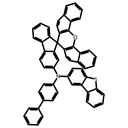 c1ccc(-c2ccc(N(c3ccc4c(c3)C3(c5ccccc5-4)c4ccc5ccccc5c4Oc4c3ccc3ccccc43)c3ccc4sc5ccccc5c4c3)cc2)cc1